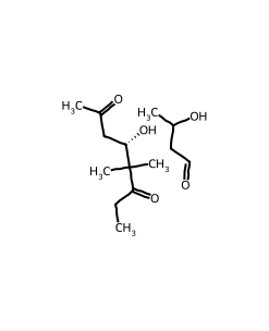 CC(O)CC=O.CCC(=O)C(C)(C)[C@@H](O)CC(C)=O